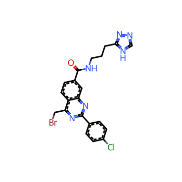 O=C(NCCCc1nnc[nH]1)c1ccc2c(CBr)nc(-c3ccc(Cl)cc3)nc2c1